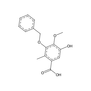 COc1c(O)cc(C(=O)O)c(C)c1OCc1ccccc1